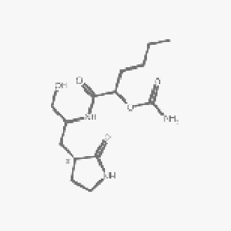 CCCCC(OC(N)=O)C(=O)NC(CO)C[C@@H]1CCNC1=O